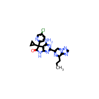 CCCc1nc(-c2nc(N)c3c(n2)NC(=O)C3(c2ccc(Cl)cn2)C2CC2)cn2ncnc12